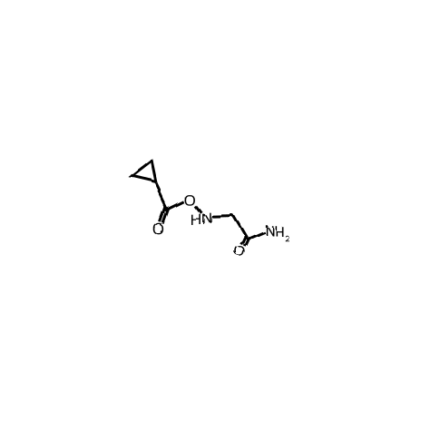 NC(=O)CNOC(=O)C1CC1